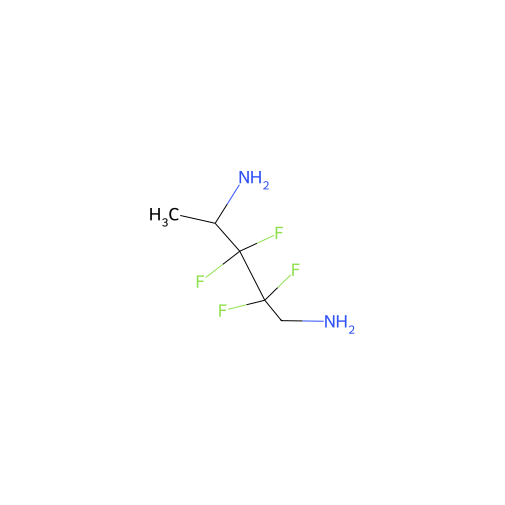 CC(N)C(F)(F)C(F)(F)CN